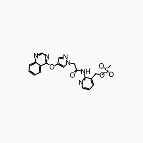 CS(=O)(=O)OCc1cccnc1NC(=O)Cn1cc(Oc2ncnc3ccccc23)cn1